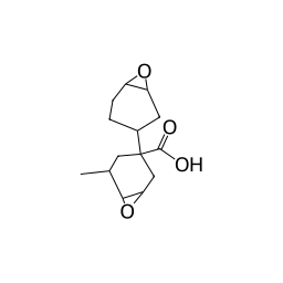 CC1CC(C(=O)O)(C2CCC3OC3C2)CC2OC12